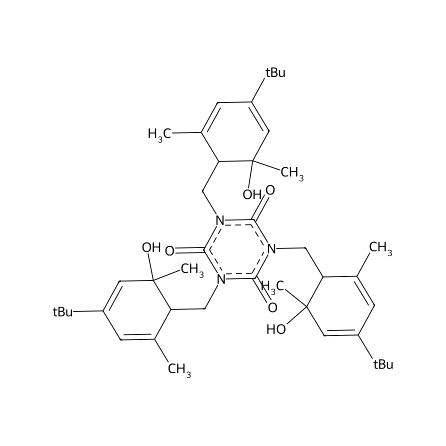 CC1=CC(C(C)(C)C)=CC(C)(O)C1Cn1c(=O)n(CC2C(C)=CC(C(C)(C)C)=CC2(C)O)c(=O)n(CC2C(C)=CC(C(C)(C)C)=CC2(C)O)c1=O